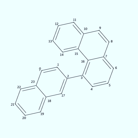 [c]1cc(-c2cccc3ccc4ccccc4c23)cc2ccccc12